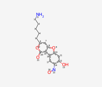 NCCCCCc1cc2oc3cc(O)c(N=O)cc3c2c(=O)o1